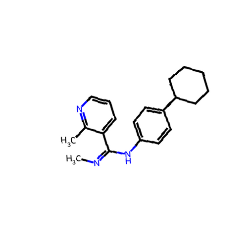 C/N=C(/Nc1ccc(C2CCCCC2)cc1)c1cccnc1C